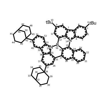 CC(C)(C)c1ccc2c(c1)c1cc(C(C)(C)C)cc3c1n2-c1c2c(cc4ccccc14)-c1cc(C45CCCC(CCC4)C5)cc4c5cc(C67CCCC(CCC6)C7)ccc5n(c14)B23